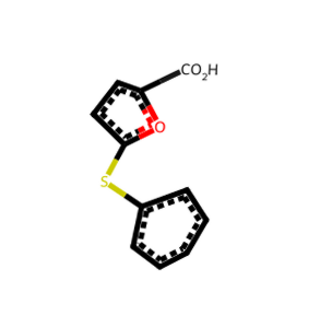 O=C(O)c1ccc(Sc2ccccc2)o1